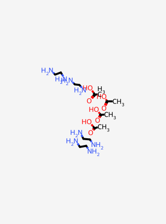 CC(=O)O.CC(=O)O.CC(=O)O.CC(=O)O.NCCN.NCCN.NCCN.NCCN